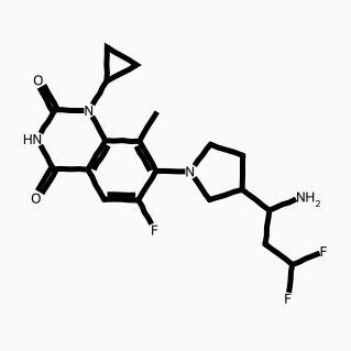 Cc1c(N2CCC(C(N)CC(F)F)C2)c(F)cc2c(=O)[nH]c(=O)n(C3CC3)c12